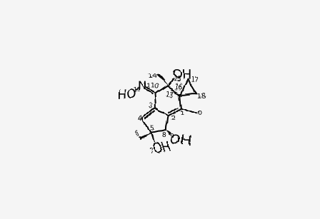 CC1=C2C(=C[C@@](C)(O)[C@@H]2O)/C(=N\O)[C@](C)(O)C12CC2